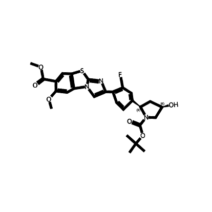 COC(=O)c1cc2sc3nc(-c4ccc([C@H]5C[C@@H](O)CN5C(=O)OC(C)(C)C)cc4F)cn3c2cc1OC